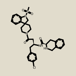 CS(=O)(=O)N1CC2(CCN(C(=O)C[C@H](Cc3ccc(Cl)cc3)NC(=O)[C@H]3Cc4ccccc4CN3)CC2)c2ccccc21